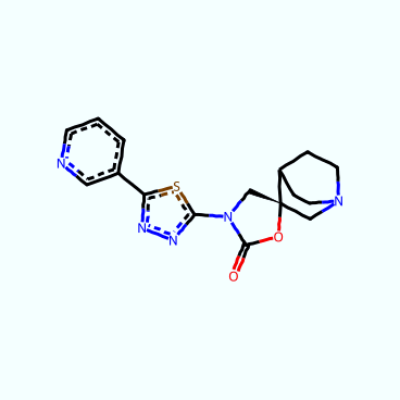 O=C1O[C@]2(CN3CCC2CC3)CN1c1nnc(-c2cccnc2)s1